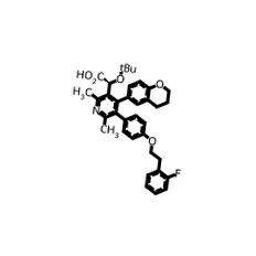 Cc1nc(C)c([C@H](OC(C)(C)C)C(=O)O)c(-c2ccc3c(c2)CCCO3)c1-c1ccc(OCCc2ccccc2F)cc1